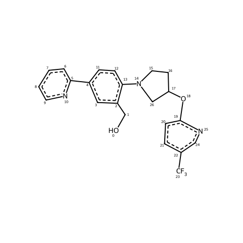 OCc1cc(-c2ccccn2)ccc1N1CCC(Oc2ccc(C(F)(F)F)cn2)C1